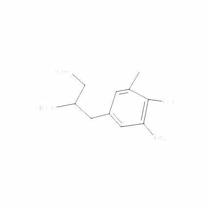 CCCCCCCCCCCC(Cc1cc(C)c(O)c(C(C)(C)C)c1)C(=O)O